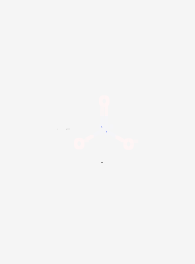 O=[N+]([O-])[O-].[Ce].[KH]